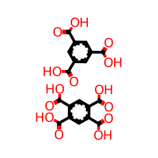 O=C(O)c1cc(C(=O)O)c(C(=O)O)cc1C(=O)O.O=C(O)c1cc(C(=O)O)cc(C(=O)O)c1